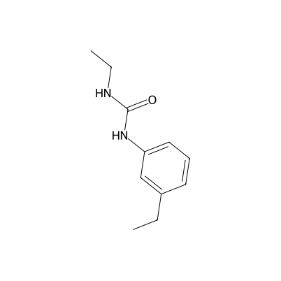 CCNC(=O)Nc1cccc(CC)c1